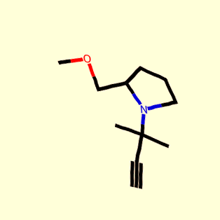 C#CC(C)(C)N1CCCC1COC